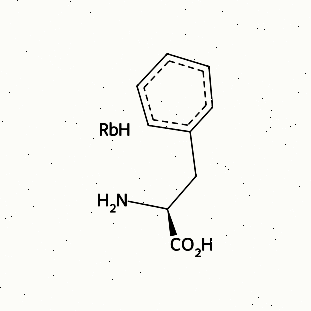 N[C@@H](Cc1ccccc1)C(=O)O.[RbH]